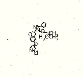 C[Si](C)(C)CCOCn1c(-c2ccccc2)cnc1C1COc2ccc(Oc3ccnc(Cl)c3)cc2C1